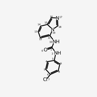 O=C(Nc1ccc(Cl)cc1)Nc1cccc2cncn12